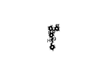 O=C(NCCc1ccccc1)c1ccc2c(c1)N=C(c1cccc(Cl)c1)C1C=CC=CC1O2